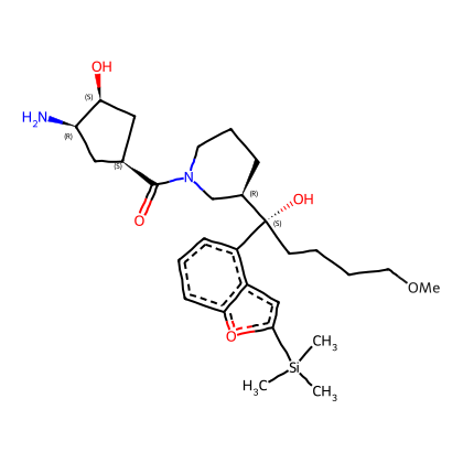 COCCCC[C@@](O)(c1cccc2oc([Si](C)(C)C)cc12)[C@@H]1CCCN(C(=O)[C@H]2C[C@@H](N)[C@@H](O)C2)C1